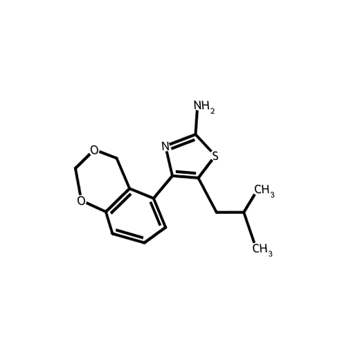 CC(C)Cc1sc(N)nc1-c1cccc2c1COCO2